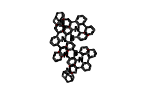 c1ccc(-c2cccc(-c3ccccc3)c2N2c3ccccc3B3c4cc5c(cc4N(c4ccccc4)c4cc(N6C7CC8CC(C7)CC6C8)cc2c43)N(c2c(-c3ccccc3)cccc2-c2ccccc2)c2cc(N3C4CC6CC(C4)CC3C6)cc3c2B5c2ccccc2N3c2c(-c3ccccc3)cccc2-c2ccccc2)cc1